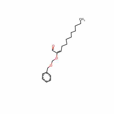 CCCCCCCCCC=C(C=O)OCOCc1ccccc1